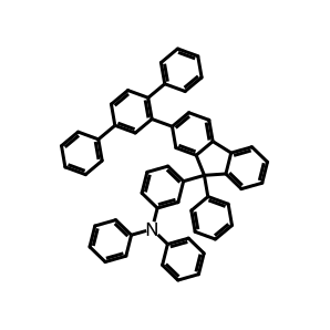 c1ccc(-c2ccc(-c3ccccc3)c(-c3ccc4c(c3)C(c3ccccc3)(c3cccc(N(c5ccccc5)c5ccccc5)c3)c3ccccc3-4)c2)cc1